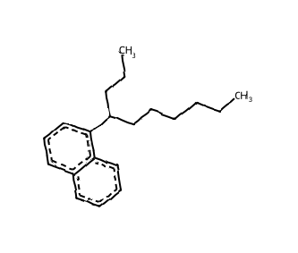 CCCCCCC(CCC)c1cccc2ccccc12